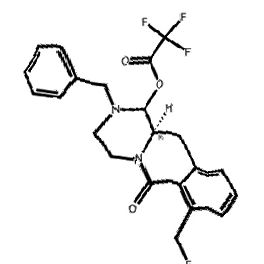 O=C1c2c(CF)cccc2C[C@@H]2C(OC(=O)C(F)(F)F)N(Cc3ccccc3)CCN12